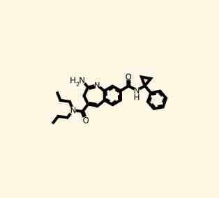 CCCN(CCC)C(=O)C1=Cc2ccc(C(=O)NC3(c4ccccc4)CC3)cc2N=C(N)C1